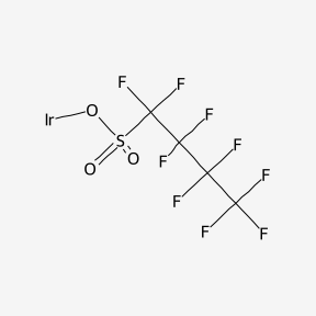 O=S(=O)([O][Ir])C(F)(F)C(F)(F)C(F)(F)C(F)(F)F